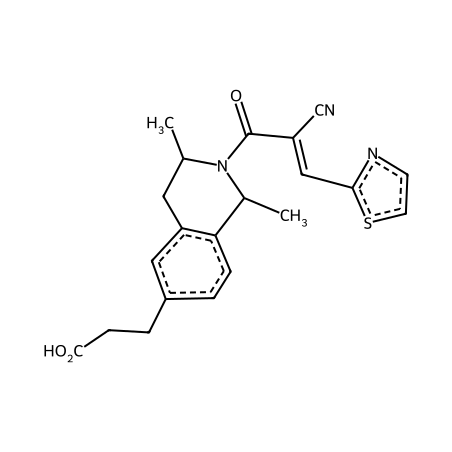 CC1Cc2cc(CCC(=O)O)ccc2C(C)N1C(=O)C(C#N)=Cc1nccs1